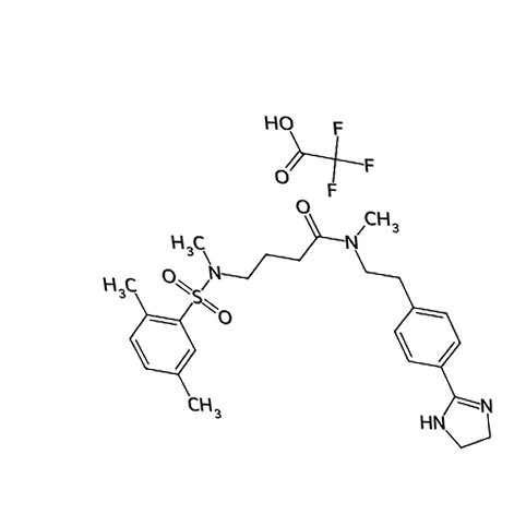 Cc1ccc(C)c(S(=O)(=O)N(C)CCCC(=O)N(C)CCc2ccc(C3=NCCN3)cc2)c1.O=C(O)C(F)(F)F